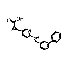 O=C(O)C1CC1c1ccc(NCc2cccc(-c3ccccc3)c2)nc1